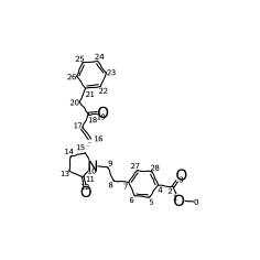 COC(=O)c1ccc(CCN2C(=O)CC[C@@H]2/C=C/C(=O)Cc2ccccc2)cc1